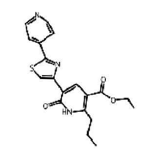 CCCc1[nH]c(=O)c(-c2csc(-c3ccncc3)n2)cc1C(=O)OCC